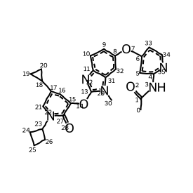 CC(=O)Nc1cc(Oc2ccc3nc(Oc4cc(C5CC5)cn(C5CCC5)c4=O)n(C)c3c2)ccn1